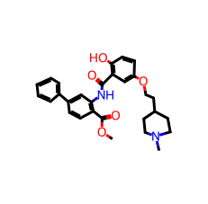 COC(=O)c1ccc(-c2ccccc2)cc1NC(=O)c1cc(OCCC2CCN(C)CC2)ccc1O